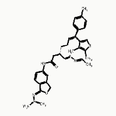 C/C=N/N=C/[C@@H](CC/C=C(/c1ccc(C)cc1)c1csc(C)c1C)CC(=O)Nc1ccc2c(c1)CO/C2=N\N(C)C